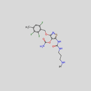 Cc1cc(F)c(COc2nsc(NC(=O)NCCCNC(C)C)c2OC(N)=O)c(F)c1F